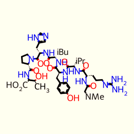 CC[C@H](C)[C@H](NC(=O)[C@H](Cc1ccc(O)cc1)NC(=O)[C@@H](NC(=O)[C@H](CCCN=C(N)N)NC(=O)CNC)C(C)C)C(=O)N[C@@H](Cc1cnc[nH]1)C(=O)N1CCC[C@H]1C(=O)N[C@H](C(=O)O)[C@@H](C)O